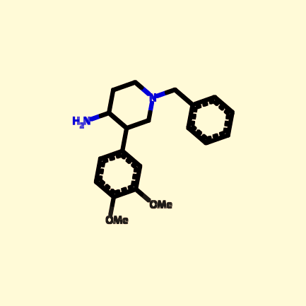 COc1ccc(C2CN(Cc3ccccc3)CCC2N)cc1OC